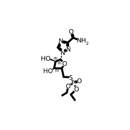 CCOP(=O)(OCC)SCC1O[C@@H](n2cnc(C(N)=O)n2)[C@H](O)[C@@H]1O